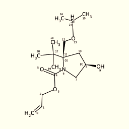 C=CCOC(=O)N1C[C@H](O)C[C@@]1(CO[SiH](C)C)C(C)(C)C